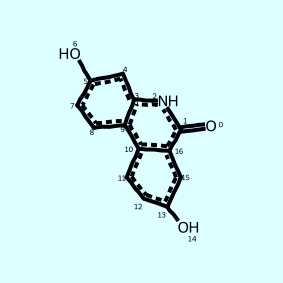 O=c1[nH]c2cc(O)ccc2c2ccc(O)cc12